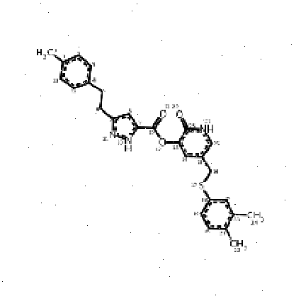 Cc1ccc(CCc2cc(C(=O)Oc3cc(CSc4ccc(C)c(C)c4)c[nH]c3=O)[nH]n2)cc1